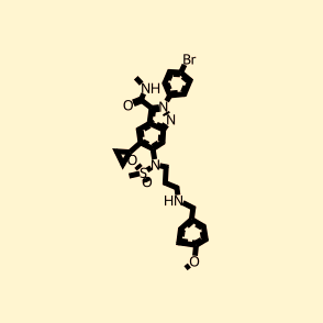 CNC(=O)c1c2cc(C3CC3)c(N(CCCNCc3ccc(OC)cc3)S(C)(=O)=O)cc2nn1-c1ccc(Br)cc1